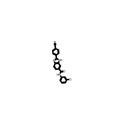 N#Cc1ccc(-c2nc3ccc(C(=O)Nc4cccc(Cl)c4)cc3[nH]2)cc1